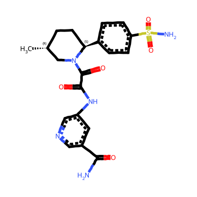 C[C@@H]1CC[C@@H](c2ccc(S(N)(=O)=O)cc2)N(C(=O)C(=O)Nc2cncc(C(N)=O)c2)C1